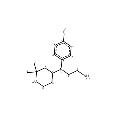 CC1(C)CC(N(CCN)c2ccc(F)cc2)CCO1